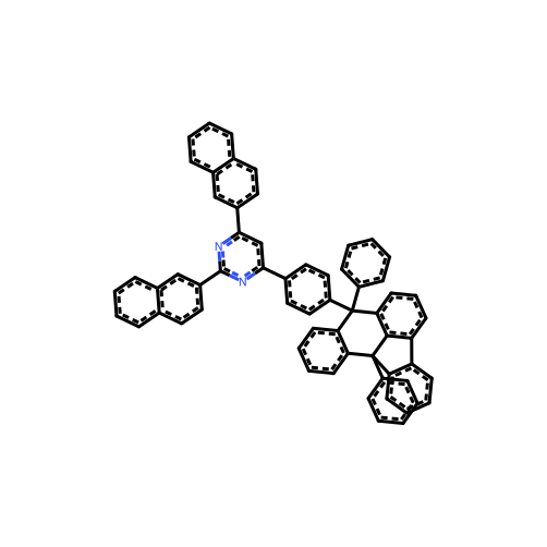 c1ccc(C2(c3ccc(-c4cc(-c5ccc6ccccc6c5)nc(-c5ccc6ccccc6c5)n4)cc3)c3ccccc3C3(c4ccccc4)c4ccccc4-c4cccc2c43)cc1